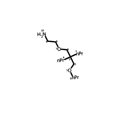 CCCOCC(CCC)(CCC)COCCN